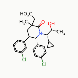 C[C@@H](O)[C@H](C1CC1)N1C(=O)C(C)(CC(=O)O)CC(c2cccc(Cl)c2)[C@H]1c1ccc(Cl)cc1